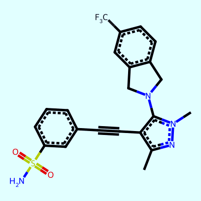 Cc1nn(C)c(N2Cc3ccc(C(F)(F)F)cc3C2)c1C#Cc1cccc(S(N)(=O)=O)c1